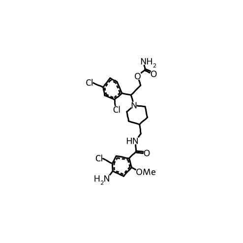 COc1cc(N)c(Cl)cc1C(=O)NCC1CCN(C(COC(N)=O)c2ccc(Cl)cc2Cl)CC1